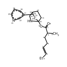 CCC=CCCC(C)C(=O)OC12CCC(CN1)C(c1cccnc1)C2